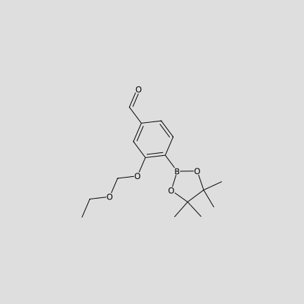 CCOCOc1cc(C=O)ccc1B1OC(C)(C)C(C)(C)O1